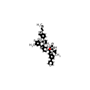 COCCn1ncc2cc(-n3ccn(-c4c5c(nn4-c4cc(C)c(F)c(C)c4)CCN(C(=O)c4cc6cc(C7CCOCC7)ccc6n4[C@@]4(c6noc(=O)[nH]6)C[C@@H]4C)[C@H]5C)c3=O)ccc21